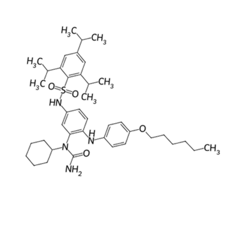 CCCCCCOc1ccc(Nc2ccc(NS(=O)(=O)c3c(C(C)C)cc(C(C)C)cc3C(C)C)cc2N(C(N)=O)C2CCCCC2)cc1